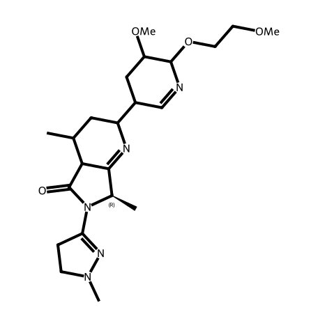 COCCOC1N=CC(C2CC(C)C3C(=O)N(C4=NN(C)CC4)[C@H](C)C3=N2)CC1OC